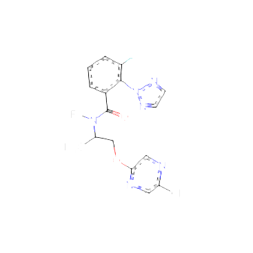 CCN(C(=O)c1cccc(F)c1-n1nccn1)C(C)COc1cnc(C(F)(F)F)cn1